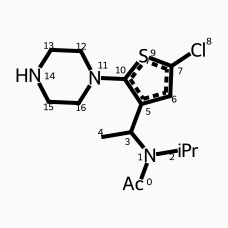 CC(=O)N(C(C)C)C(C)c1cc(Cl)sc1N1CCNCC1